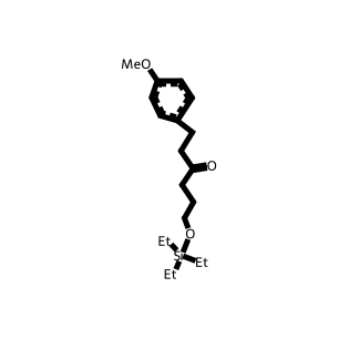 CC[Si](CC)(CC)OCCCC(=O)CCc1ccc(OC)cc1